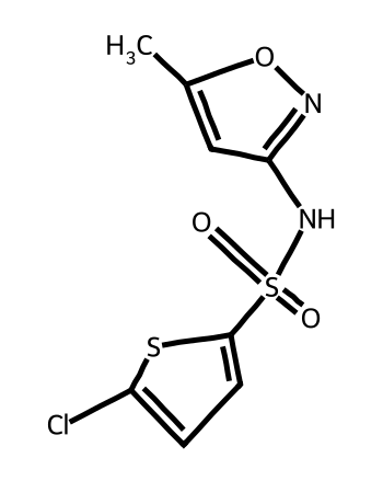 Cc1cc(NS(=O)(=O)c2ccc(Cl)s2)no1